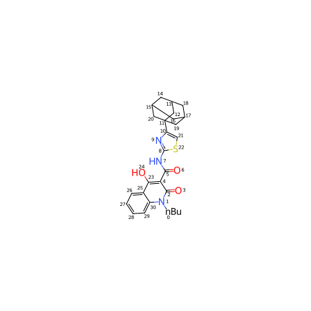 CCCCn1c(=O)c(C(=O)Nc2nc(C34CC5CC(CC(C5)C3)C4)cs2)c(O)c2ccccc21